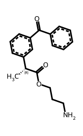 C[C@@H](C(=O)OCCCN)c1cccc(C(=O)c2ccccc2)c1